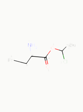 CCCCC(Cl)OC(=O)[C@@H](N)CC(C)C